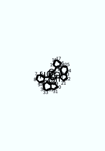 [CH2]=[Ti]([O]C(=O)c1ccccc1)([O]C(=O)c1ccccc1)([CH]1C=Cc2ccccc21)[CH]1C=Cc2ccccc21